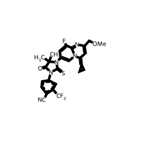 COCC1=CC(=C2CC2)N2C=C(N3C(=S)N(c4ccc(C#N)c(C(F)(F)F)c4)C(=O)C3(C)C)C=C(F)C2=N1